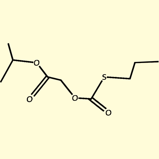 CC(C)OC(=O)COC(=O)SCCI